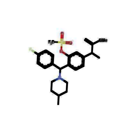 C=C(OC)C(C)c1ccc(C(c2ccc(F)cc2)N2CCC(C)CC2)c(OS(=O)(=O)C(F)(F)F)c1